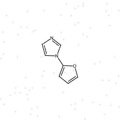 c1coc(-n2ccnc2)c1